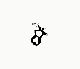 O=C(O)C1(Cl)Cc2ccccc2C1=O